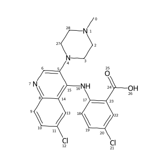 CN1CCN(c2cnc3ccc(Cl)cc3c2Nc2ccc(Cl)cc2C(=O)O)CC1